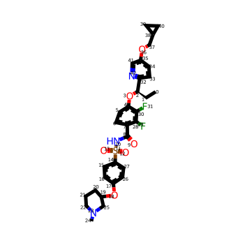 CC[C@@H](Oc1ccc(C(=O)NS(=O)(=O)c2ccc(OC3CCCN(C)C3)cc2)c(F)c1F)c1ccc(OCC2CC2)cn1